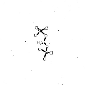 Cl[Si](Cl)(Cl)O[SiH2]O[Si](Cl)(Cl)Cl